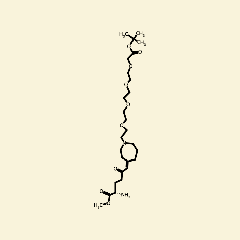 COC(=O)[C@@H](N)CCC(=O)/C=C1/CCCN(CCOCCOCCOCCOCC(=O)OC(C)(C)C)CC1